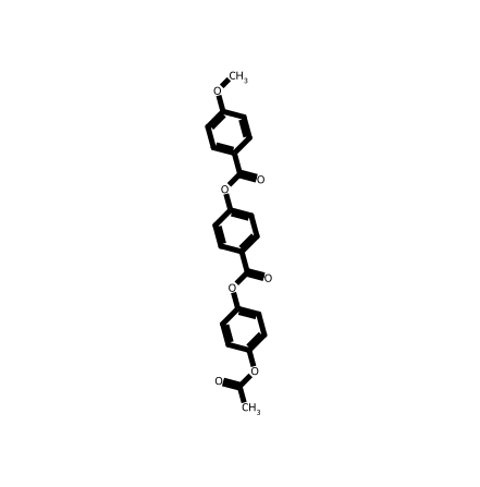 COc1ccc(C(=O)Oc2ccc(C(=O)Oc3ccc(OC(C)=O)cc3)cc2)cc1